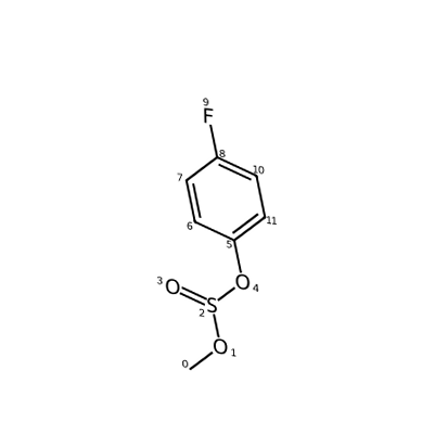 COS(=O)Oc1ccc(F)cc1